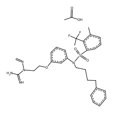 C=NN(CCOc1cccc(N(CCCCc2ccccc2)S(=O)(=O)c2cccc(C)c2C(F)(F)F)c1)C(=N)N.CC(=O)O